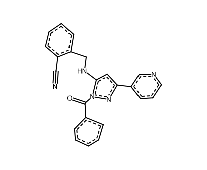 N#Cc1ccccc1CNc1cc(-c2cccnc2)nn1C(=O)c1ccccc1